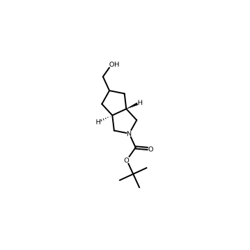 CC(C)(C)OC(=O)N1C[C@H]2CC(CO)C[C@@H]2C1